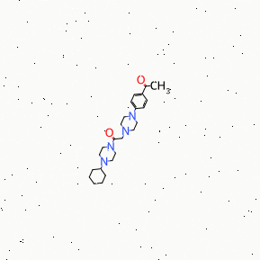 CC(=O)c1ccc(N2CCN(CC(=O)N3CCN(C4CCCCC4)CC3)CC2)cc1